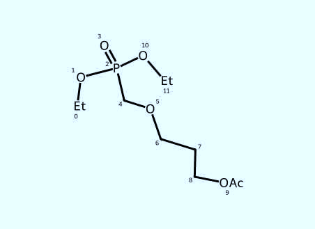 CCOP(=O)(COCCCOC(C)=O)OCC